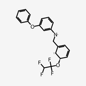 FC(F)C(F)(F)O[C@H]1[C]C(C[N]c2cccc(Oc3ccccc3)c2)=CC=C1